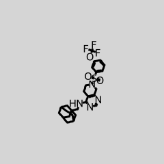 O=S(=O)(c1cccc(OC(F)(F)F)c1)N1CCc2c(ncnc2NCC23CC4CC(CC(C4)C2)C3)C1